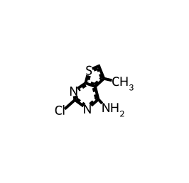 Cc1csc2nc(Cl)nc(N)c12